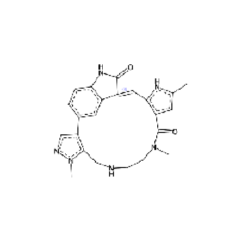 Cc1cc2c([nH]1)/C=C1\C(=O)Nc3ccc(cc31)-c1cnn(C)c1CNCCN(C)C2=O